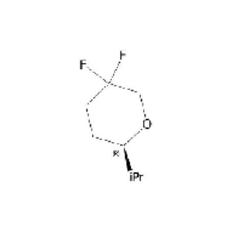 CC(C)[C@H]1CCC(F)(F)CO1